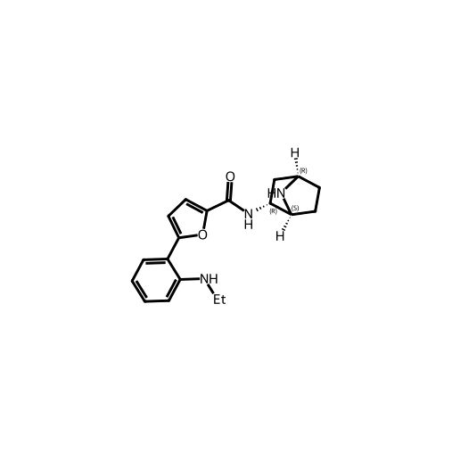 CCNc1ccccc1-c1ccc(C(=O)N[C@@H]2C[C@H]3CC[C@@H]2N3)o1